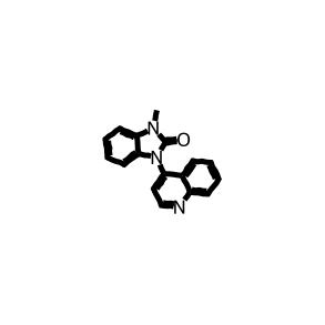 Cn1c(=O)n(-c2ccnc3ccccc23)c2ccccc21